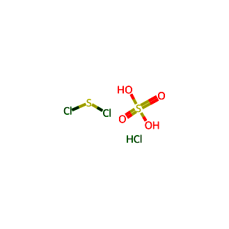 Cl.ClSCl.O=S(=O)(O)O